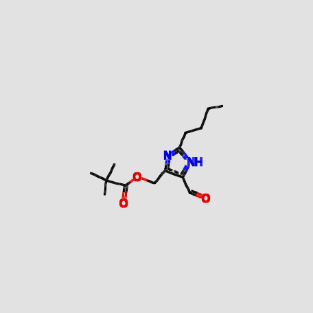 CCCCc1nc(COC(=O)C(C)(C)C)c(C=O)[nH]1